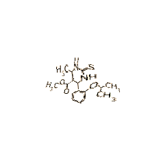 COC(=O)C1=C(C)NC(=S)NC1c1ccccc1OC(C)C